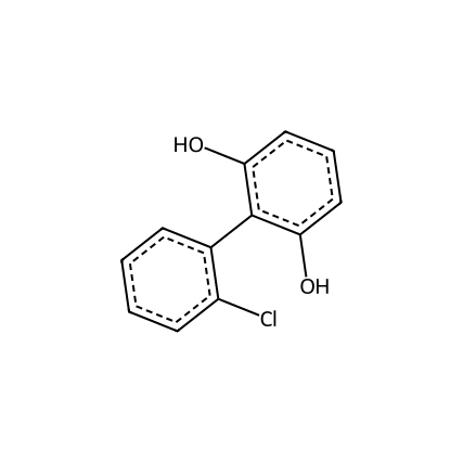 Oc1cccc(O)c1-c1ccccc1Cl